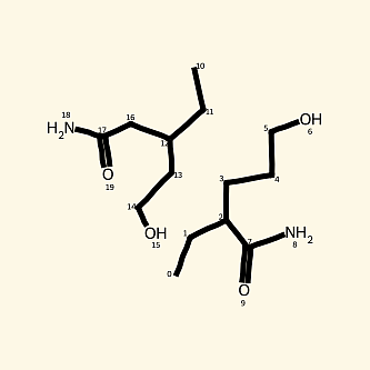 CCC(CCCO)C(N)=O.CCC(CCO)CC(N)=O